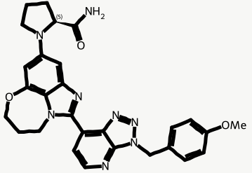 COc1ccc(Cn2nnc3c(-c4nc5cc(N6CCC[C@H]6C(N)=O)cc6c5n4CCCO6)ccnc32)cc1